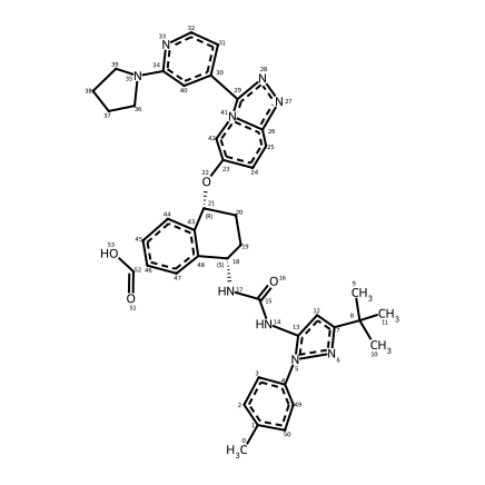 Cc1ccc(-n2nc(C(C)(C)C)cc2NC(=O)N[C@H]2CC[C@@H](Oc3ccc4nnc(-c5ccnc(N6CCCC6)c5)n4c3)c3ccccc32)cc1.O=CO